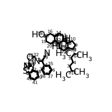 CC(C)CCCC(C)[C@H]1CC[C@H]2[C@@H]3CC=C4C[C@@H](O)CC[C@]4(C)[C@H]3CC[C@]12C.N#CC(NC=O)c1ccccc1.c1ccc2snnc2c1